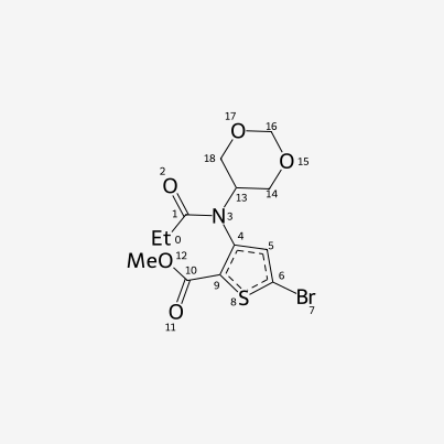 CCC(=O)N(c1cc(Br)sc1C(=O)OC)C1COCOC1